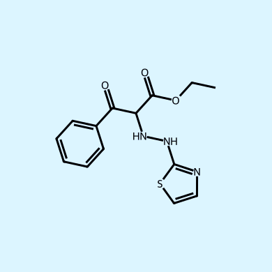 CCOC(=O)C(NNc1nccs1)C(=O)c1ccccc1